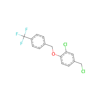 FC(F)(F)c1ccc(COc2ccc(CCl)cc2Cl)cc1